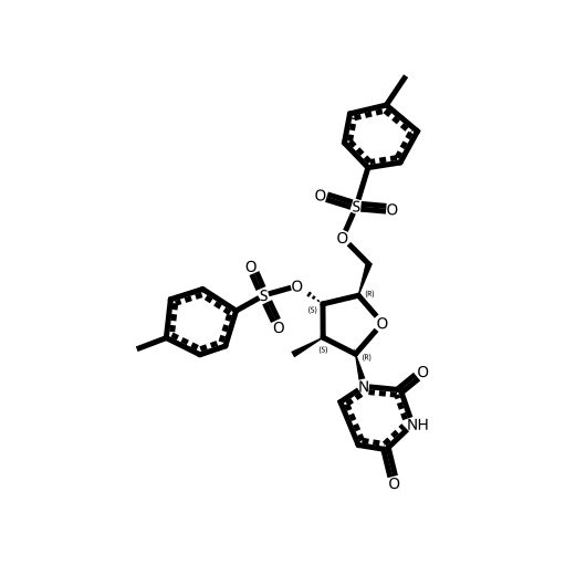 Cc1ccc(S(=O)(=O)OC[C@H]2O[C@@H](n3ccc(=O)[nH]c3=O)[C@@H](C)[C@@H]2OS(=O)(=O)c2ccc(C)cc2)cc1